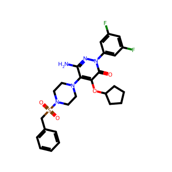 Nc1nn(-c2cc(F)cc(F)c2)c(=O)c(OC2CCCC2)c1N1CCN(S(=O)(=O)Cc2ccccc2)CC1